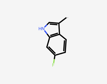 [CH2]c1c[nH]c2cc(F)ccc12